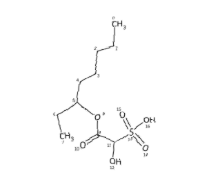 CCCCCC(CC)OC(=O)C(O)S(=O)(=O)O